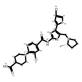 C[C@H]1CCCN1Cc1sc(NC(=O)c2cnc(N3CCC(C(=O)O)CC3)c(Cl)c2)nc1-c1cc(Cl)cs1